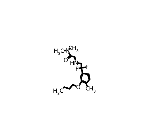 CCCCOc1cc(C(F)(F)CNCC(=O)N(C)C)ccc1C